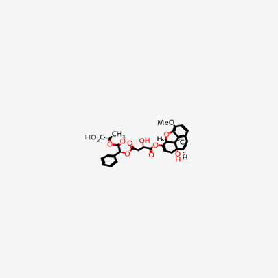 COc1ccc2c3c1O[C@@H]1C(OC(=O)[C@@H](O)CC(=O)O[C@H](C(=O)O[C@@H](C)C(=O)O)c4ccccc4)=CC[C@]4(O)[C@@H](CCC[C@@]314)C2